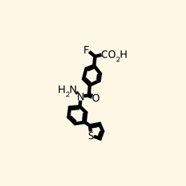 NN(C(=O)c1ccc(C(F)C(=O)O)cc1)c1cccc(-c2cccs2)c1